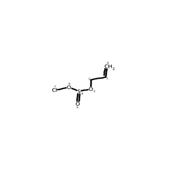 C=CCOS(=O)OCl